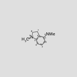 CNc1cccc2c1CCN2C